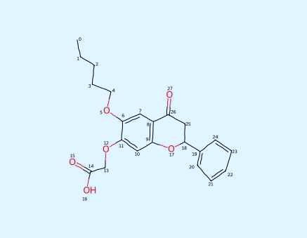 CCCCCOc1cc2c(cc1OCC(=O)O)OC(c1ccccc1)CC2=O